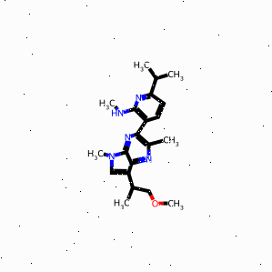 CNc1nc(C(C)C)ccc1-c1nc2c(nc1C)c(C(C)COC)cn2C